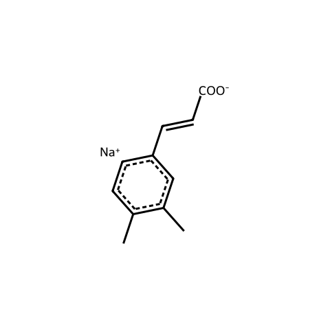 Cc1ccc(/C=C/C(=O)[O-])cc1C.[Na+]